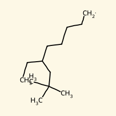 [CH2]CCCCC(CC)CC(C)(C)C